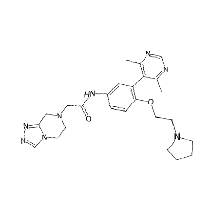 Cc1ncnc(C)c1-c1cc(NC(=O)CN2CCn3cnnc3C2)ccc1OCCN1CCCC1